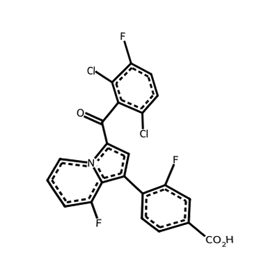 O=C(O)c1ccc(-c2cc(C(=O)c3c(Cl)ccc(F)c3Cl)n3cccc(F)c23)c(F)c1